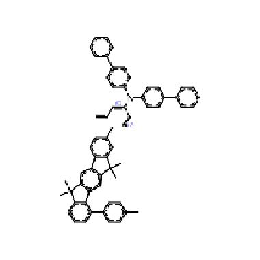 C=C/C=C(\C=C/Cc1ccc2c(c1)C(C)(C)c1cc3c(cc1-2)C(C)(C)c1cccc(-c2ccc(C)cc2)c1-3)N(c1ccc(-c2ccccc2)cc1)c1ccc(-c2ccccc2)cc1